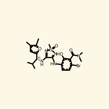 Cc1cc([C@H](NC2=N[SH](C)(=O)N=C2Nc2ccc(Br)c(C(=O)N(C)C)c2O)C(C)C)oc1C